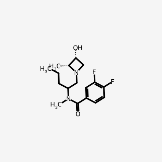 CCCC(CN1C[C@@H](O)[C@H]1C)N(C)C(=O)c1ccc(F)c(F)c1